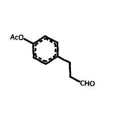 CC(=O)Oc1ccc(CCC=O)cc1